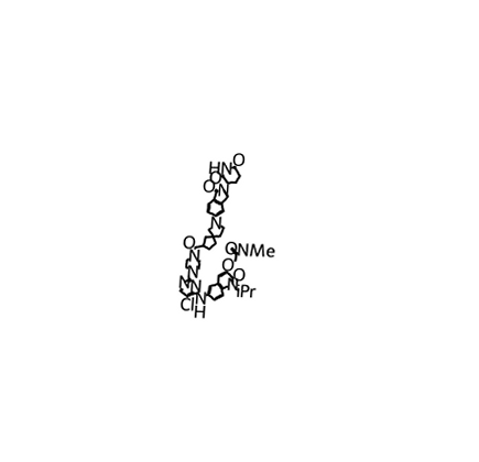 CNC(=O)COc1cc2cc(Nc3nc(N4CCN(C(=O)C5CCC6(CCN(c7ccc8c(c7)CN(C7CCC(=O)NC7=O)C8=O)C6)C5)CC4)ncc3Cl)ccc2n(C(C)C)c1=O